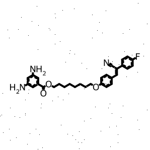 N#C/C(=C\c1ccc(OCCCCCCCCOC(=O)c2cc(N)cc(N)c2)cc1)c1ccc(F)cc1